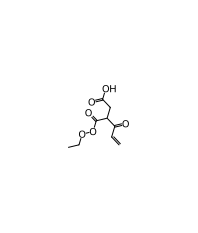 C=CC(=O)C(CC(=O)O)C(=O)OOCC